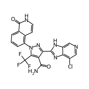 NC(=O)c1c(-c2nc3c(Cl)cncc3[nH]2)nn(-c2cccc3c(=O)[nH]ccc23)c1C(F)(F)F